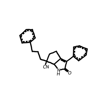 N#CC1(CCCc2ccccc2)CCC2=C(c3ccccc3)C(=O)NC21